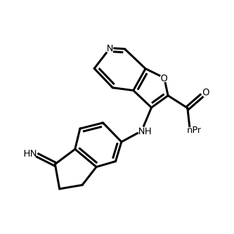 CCCC(=O)c1oc2cnccc2c1Nc1ccc2c(c1)CCC2=N